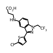 O=C(O)CCNc1ccc2c(c1)c(-c1ccc(Cl)s1)nn2CC(F)(F)F